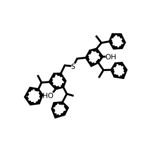 CC(c1ccccc1)c1cc(CSCc2cc(C(C)c3ccccc3)c(O)c(C(C)c3ccccc3)c2)cc(C(C)c2ccccc2)c1O